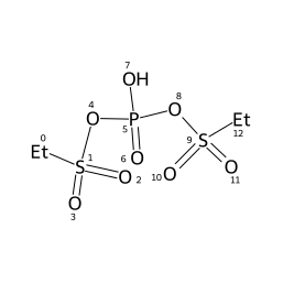 CCS(=O)(=O)OP(=O)(O)OS(=O)(=O)CC